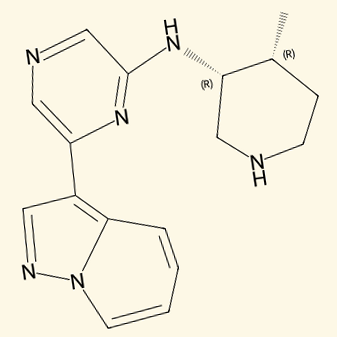 C[C@@H]1CCNC[C@@H]1Nc1cncc(-c2cnn3ccccc23)n1